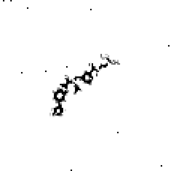 CN(C)CCNC(=O)c1cccc(CN(C(=O)c2nc3ccc(-c4cn[nH]c4)cc3s2)C2CC2)c1